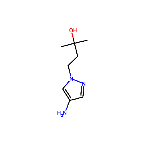 CC(C)(O)CCn1cc(N)cn1